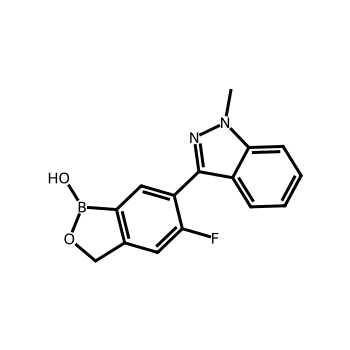 Cn1nc(-c2cc3c(cc2F)COB3O)c2ccccc21